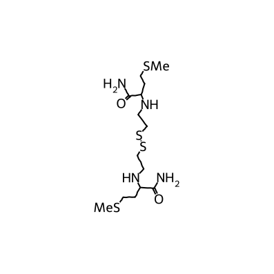 CSCCC(NCCSSCCNC(CCSC)C(N)=O)C(N)=O